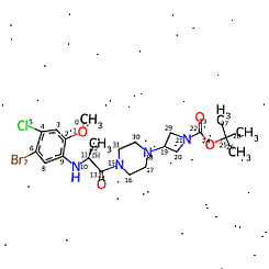 COc1cc(Cl)c(Br)cc1N[C@@H](C)C(=O)N1CCN(C2CN(C(=O)OC(C)(C)C)C2)CC1